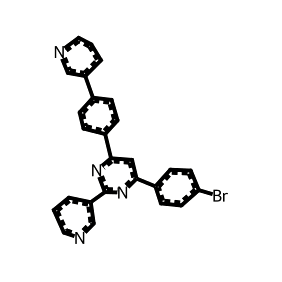 Brc1ccc(-c2cc(-c3ccc(-c4cccnc4)cc3)nc(-c3cccnc3)n2)cc1